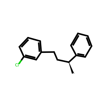 [CH2][C@@H](CCc1cccc(Cl)c1)c1ccccc1